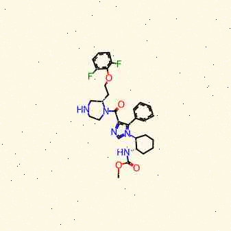 COC(=O)N[C@H]1CCCC[C@@H]1n1cnc(C(=O)N2CCNC[C@H]2CCOc2c(F)cccc2F)c1-c1ccccc1